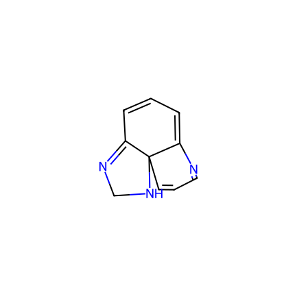 C1=CC2=NCNC23C=CC=NC3=C1